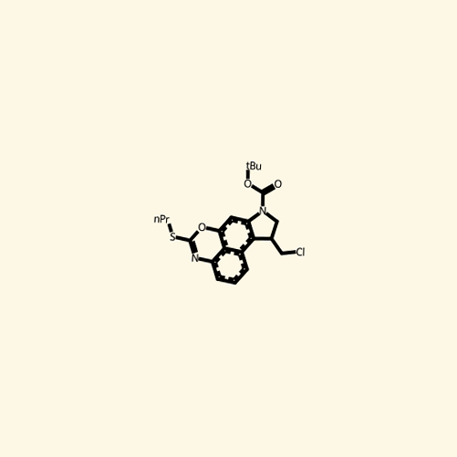 CCCSC1=Nc2cccc3c4c(cc(c23)O1)N(C(=O)OC(C)(C)C)CC4CCl